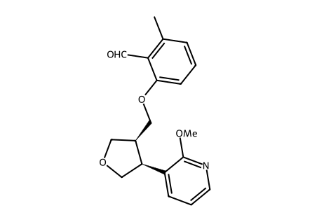 COc1ncccc1[C@H]1COC[C@H]1COc1cccc(C)c1C=O